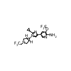 Nc1ncc(-c2cn([C@H]3[C@@H]4CN(CC(F)(F)F)C[C@@H]43)c(C3CC3)n2)cc1OC(F)(F)F